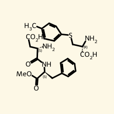 COC(=O)[C@H](Cc1ccccc1)NC(=O)[C@@H](N)CC(=O)O.Cc1ccc(SC[C@H](N)C(=O)O)cc1